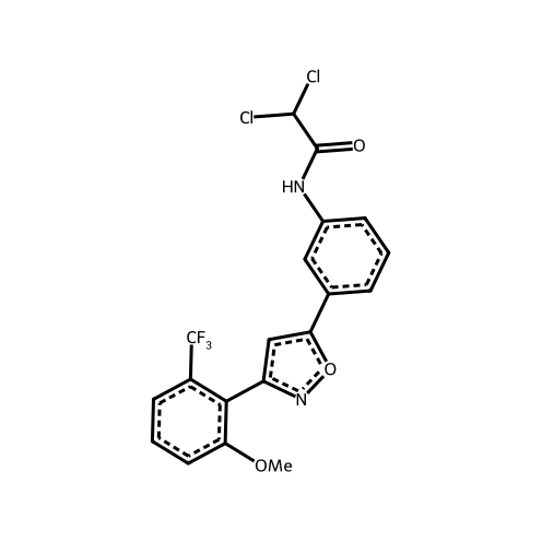 COc1cccc(C(F)(F)F)c1-c1cc(-c2cccc(NC(=O)C(Cl)Cl)c2)on1